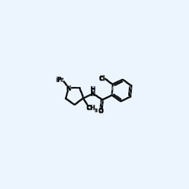 CC(C)N1CCC(C)(NC(=O)c2ccccc2Cl)C1